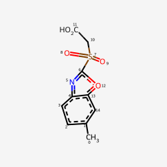 Cc1ccc2nc(S(=O)(=O)CC(=O)O)oc2c1